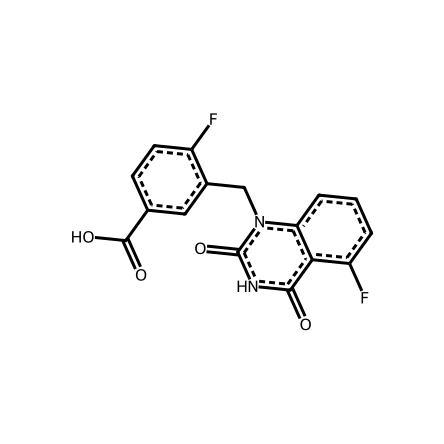 O=C(O)c1ccc(F)c(Cn2c(=O)[nH]c(=O)c3c(F)cccc32)c1